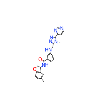 Cc1ccc2c(c1)C(NC(=O)c1cccc(NCc3nnc(-c4ccncn4)n3C)c1)CO2